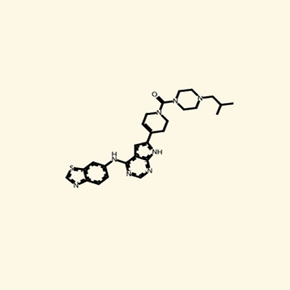 CC(C)CN1CCN(C(=O)N2CC=C(c3cc4c(Nc5ccc6ncsc6c5)ncnc4[nH]3)CC2)CC1